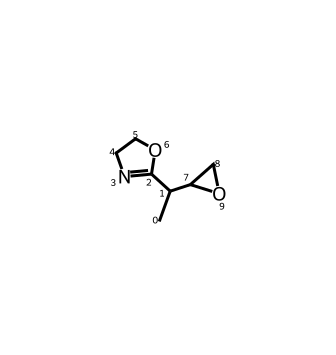 CC(C1=NCCO1)C1CO1